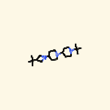 CC(C)(C)C1CN(C2CCN(C3CCN(C(C)(C)C)CC3)CC2)C1